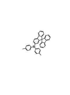 Cc1ccc(N(c2ccc(C)cc2)c2ccc3c(c2)C2(c4ccccc4-c4ccccc42)c2ccccc2-3)cc1